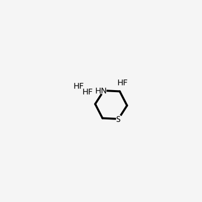 C1CSCCN1.F.F.F